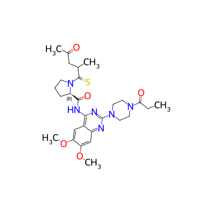 CCC(=O)N1CCN(c2nc(NC(=O)[C@H]3CCCN3C(=S)C(C)CC(C)=O)c3cc(OC)c(OC)cc3n2)CC1